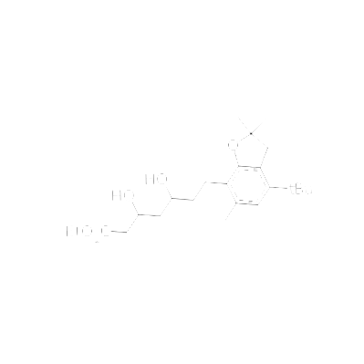 CCOC(=O)CC(O)CC(O)CCc1c(C)cc(C(C)(C)C)c2c1OC(C)(C)C2